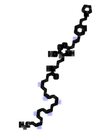 CC/C=C\C/C=C\C/C=C\C/C=C\C/C=C\C/C=C\CCC(=O)NCCC[C@H](NC(=O)C/C=C/c1ccc(CCN2CCCC2)nc1)C(=O)O